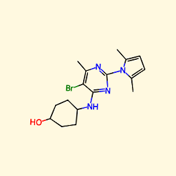 Cc1nc(-n2c(C)ccc2C)nc(NC2CCC(O)CC2)c1Br